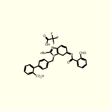 CCCCc1nc2c(n1Cc1ccc(-c3ccccc3C(=O)O)cc1)CC(=NC(=O)c1ccccc1C=O)C=C2.O=C(O)C(F)(F)F